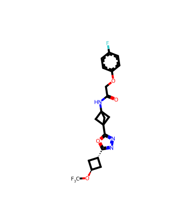 O=C(COc1ccc(F)cc1)NC12CC(c3nnc([C@H]4C[C@H](OC(F)(F)F)C4)o3)(C1)C2